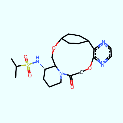 CC(C)S(=O)(=O)N[C@H]1CCCN2C(=O)COc3nccnc3C3CCC(CC3)OCC12